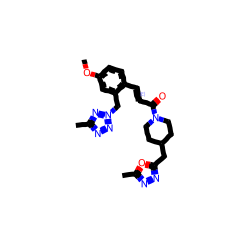 COc1ccc(/C=C/C(=O)N2CCC(Cc3nnc(C)o3)CC2)c(Cn2nnc(C)n2)c1